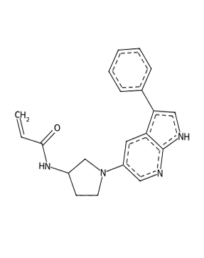 C=CC(=O)NC1CCN(c2cnc3[nH]cc(-c4ccccc4)c3c2)C1